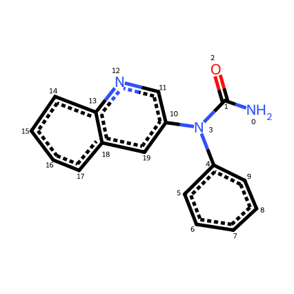 NC(=O)N(c1ccccc1)c1cnc2ccccc2c1